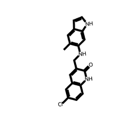 Cc1cc2cc[nH]c2cc1NCc1cc2cc(Cl)ccc2[nH]c1=O